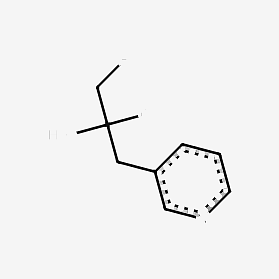 CC(C)(CF)Cc1cccnc1